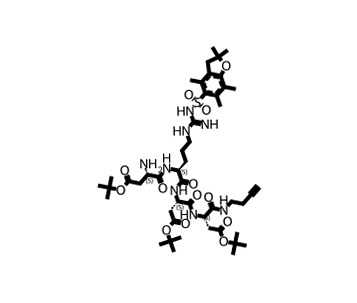 C#CCCNC(=O)[C@H](CC(=O)OC(C)(C)C)NC(=O)[C@H](CC(=O)OC(C)(C)C)NC(=O)[C@H](CCCNC(=N)NS(=O)(=O)c1c(C)c(C)c2c(c1C)CC(C)(C)O2)NC(=O)[C@@H](N)CC(=O)OC(C)(C)C